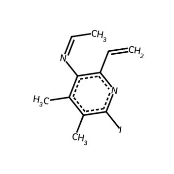 C=Cc1nc(I)c(C)c(C)c1/N=C\C